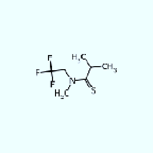 CC(C)C(=S)N(C)CC(F)(F)F